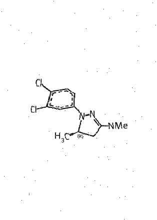 CNC1=NN(c2ccc(Cl)c(Cl)c2)[C@H](C)C1